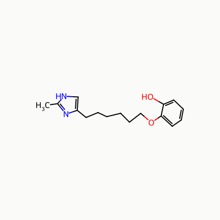 Cc1nc(CCCCCCOc2ccccc2O)c[nH]1